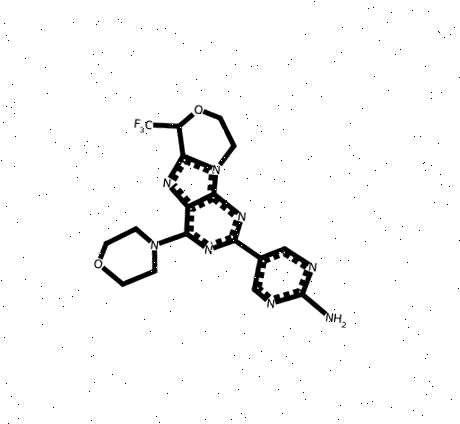 Nc1ncc(-c2nc(N3CCOCC3)c3nc4n(c3n2)CCOC4C(F)(F)F)cn1